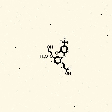 O.O=C(O)C=Cc1ccc(OCCO)cc1Oc1ncc(C(F)(F)F)cc1Cl